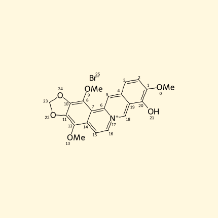 COc1ccc2cc3c4c(OC)c5c(c(OC)c4cc[n+]3cc2c1O)OCO5.[Br-]